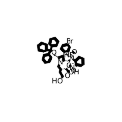 O=C(O)C[C@H](CCO)CN1[C@H](COC(c2ccccc2)(c2ccccc2)c2ccccc2)[C@H](c2ccc(Br)cc2)[C@@H]1CN(c1ccccc1[N+](=O)[O-])[SH](=O)=O